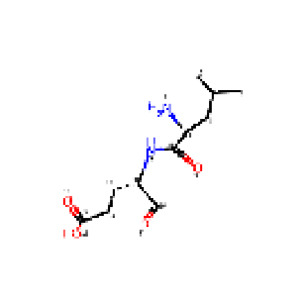 CC(C)C[C@H](N)C(=O)N[C@H]([C]=O)CCC(=O)O